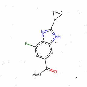 COC(=O)c1cc(F)c2nc(C3CC3)[nH]c2c1